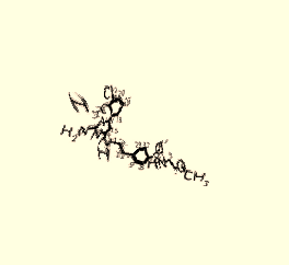 COCCN[S+]([O-])c1ccc(CCNc2cc(-c3cccc(Cl)c3C)nc(N)n2)cc1